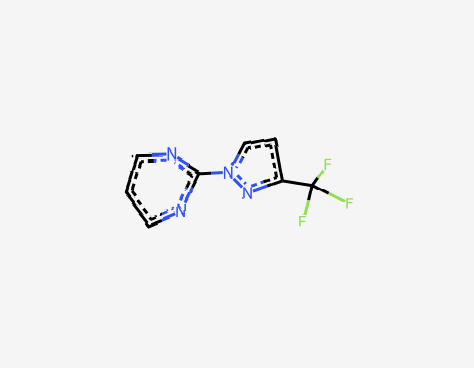 FC(F)(F)c1ccn(-c2n[c]ccn2)n1